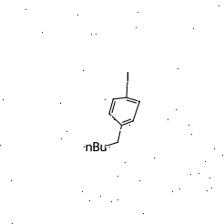 CCC[CH]Cc1ccc(I)cc1